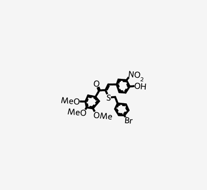 COc1cc(C(=O)C(=Cc2ccc(O)c([N+](=O)[O-])c2)SCc2ccc(Br)cc2)cc(OC)c1OC